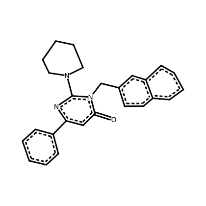 O=c1cc(-c2ccccc2)nc(N2CCCCC2)n1Cc1ccc2ccccc2c1